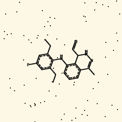 CCc1cc(F)cc(CC)c1Nc1cccc2c1C(C=O)NN=C2C